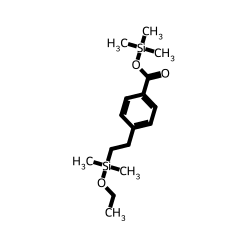 CCO[Si](C)(C)CCc1ccc(C(=O)O[Si](C)(C)C)cc1